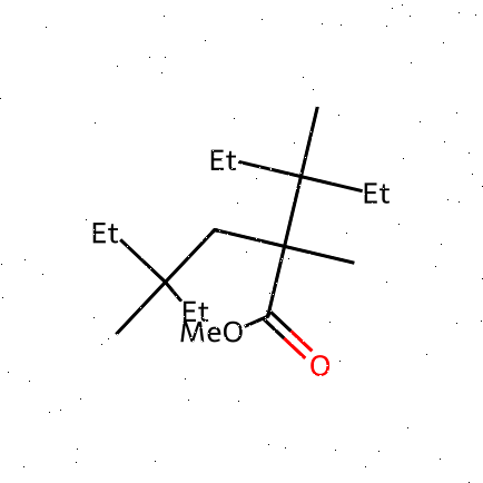 CCC(C)(CC)CC(C)(C(=O)OC)C(C)(CC)CC